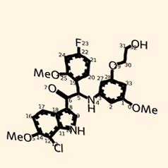 COc1cc(NC(C(=O)c2c[nH]c3c(Cl)c(OC)ccc23)c2ccc(F)cc2OC)cc(OCCO)c1